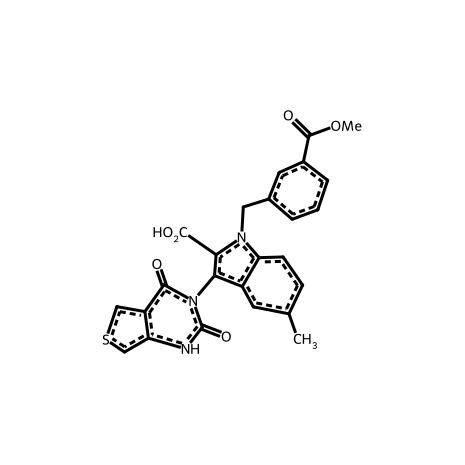 COC(=O)c1cccc(Cn2c(C(=O)O)c(-n3c(=O)[nH]c4cscc4c3=O)c3cc(C)ccc32)c1